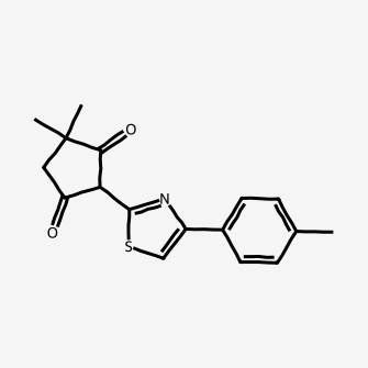 Cc1ccc(-c2csc(C3C(=O)CC(C)(C)C3=O)n2)cc1